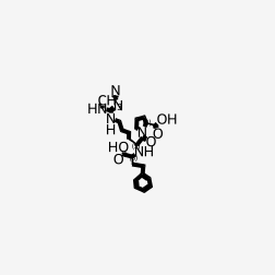 CNC(=NC#N)NCCCC[C@H](N[C@@H](CCc1ccccc1)C(=O)O)C(=O)N1CCC[C@H]1C(=O)O